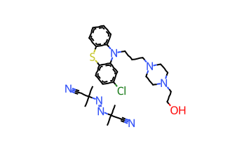 CC(C)(C#N)/N=N/C(C)(C)C#N.OCCN1CCN(CCCN2c3ccccc3Sc3ccc(Cl)cc32)CC1